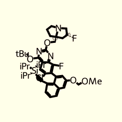 COCOc1cc(-c2c(Cl)cc3c(OC(C)(C)C)nc(OC[C@@]45CCCN4C[C@H](F)C5)nc3c2F)c2c(C#C[Si](C(C)C)(C(C)C)C(C)C)cccc2c1